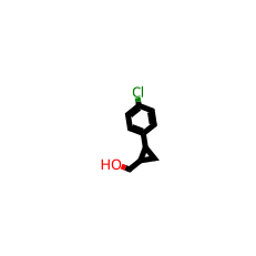 OCC1C[C]1c1ccc(Cl)cc1